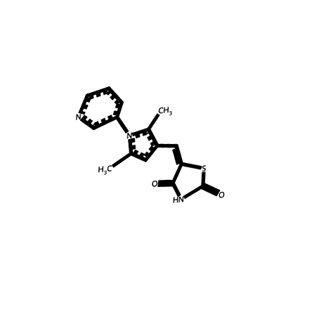 Cc1cc(/C=C2/SC(=O)NC2=O)c(C)n1-c1cccnc1